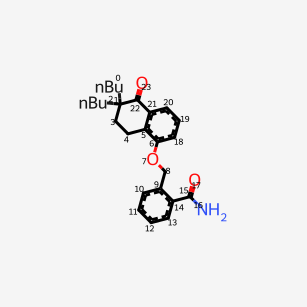 CCCCC1(CCCC)CCc2c(OCc3ccccc3C(N)=O)cccc2C1=O